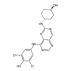 Oc1c(Cl)cc(Nc2ncnc3cnc(N[C@H]4CC[C@H](O)CC4)nc23)cc1Cl